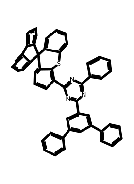 c1ccc(-c2cc(-c3ccccc3)cc(-c3nc(-c4ccccc4)nc(-c4cccc5c4Sc4ccccc4C54c5ccccc5-c5ccccc54)n3)c2)cc1